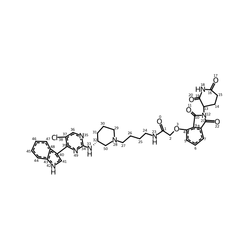 O=C(COc1cccc2c1C(=O)N(C1CCC(=O)NC1=O)C2=O)NCCCCN1CCC[C@@H](Nc2ncc(Cl)c(-c3c[nH]c4ccccc34)n2)C1